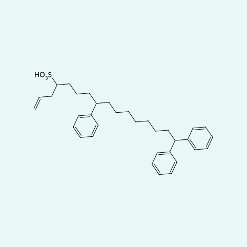 C=CCC(CCCC(CCCCCCCC(c1ccccc1)c1ccccc1)c1ccccc1)S(=O)(=O)O